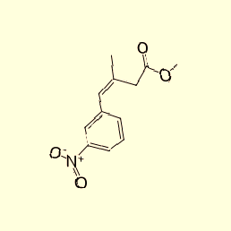 COC(=O)CC(C)=Cc1cccc([N+](=O)[O-])c1